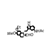 CCOc1cc2c(cc1OC)CCN(C=O)[C@H]2CCc1c[nH]c2ccc(NC(C)=O)cc12